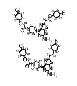 Nc1nc(N2CCN(C(=O)COc3ccc(Cl)cc3)CC2)c2nc(CCOc3ccc(F)cc3)sc2n1.Nc1nc(N2CCN(C(=O)COc3ccc(Cl)cc3)CC2)c2nc(CCc3ccc(F)cc3)sc2n1